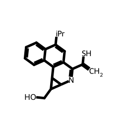 C=C(S)C1=NC2C(CO)C2c2c1cc(C(C)C)c1ccccc21